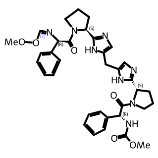 COO/C=N\[C@@H](C(=O)N1CCC[C@H]1c1ncc(Cc2cnc([C@@H]3CCCN3C(=O)[C@H](NC(=O)OC)c3ccccc3)[nH]2)[nH]1)c1ccccc1